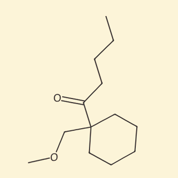 CCCCC(=O)C1(COC)CCCCC1